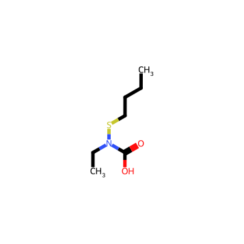 CCCCSN(CC)C(=O)O